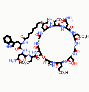 CCC(C)CCCCCCC(=O)NC(Cc1c[nH]c2ccccc12)C(=O)NC(CC(N)=O)C(=O)NC(CC(=O)O)C(=O)NC1C(=O)NCC(=O)NC(CCCN)C(=O)NC(CC(=O)O)C(=O)NC(CC(N)=O)C(=O)NC(CC(=O)O)C(=O)NCC(=O)NC(CO)C(=O)NC(CCC(=O)O)C(=O)NC(C(C)C)C(=O)OC1C